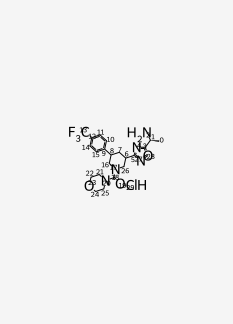 C[C@H](N)c1nc(C2CC(c3ccc(C(F)(F)F)cc3)CN(C(=O)N3CCOCC3)C2)no1.Cl